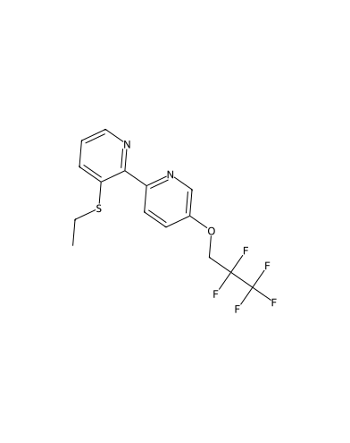 CCSc1cccnc1-c1ccc(OCC(F)(F)C(F)(F)F)cn1